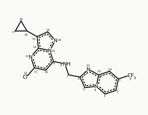 FC(F)(F)c1ccn2cc(CNc3cc(Cl)nc4c(C5CC5)cnn34)nc2c1